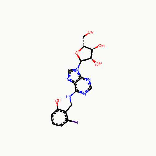 OC[C@H]1OC(n2cnc3c(NCc4c(O)cccc4I)ncnc32)[C@H](O)[C@@H]1O